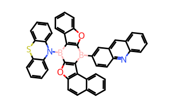 c1ccc2c(c1)Sc1ccccc1N2B1c2oc3ccc4ccccc4c3c2B(c2ccc3nc4ccccc4cc3c2)c2oc3ccccc3c21